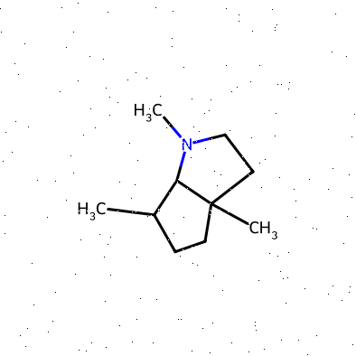 CC1CCC2(C)CCN(C)C12